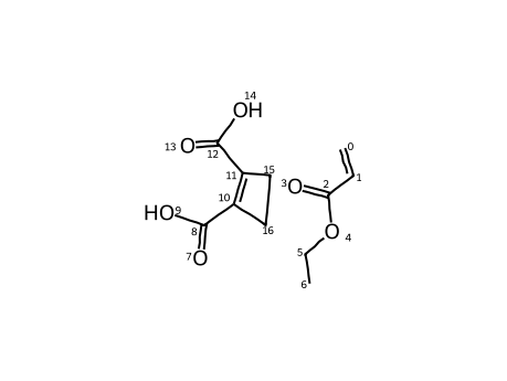 C=CC(=O)OCC.O=C(O)C1=C(C(=O)O)CC1